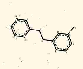 Cc1cccc(CCc2cnccn2)c1